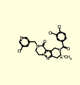 C[C@@H]1Cc2nn3c(c2CN1C(=O)c1ccc(Cl)c(Cl)c1)C(=O)N(Cc1cncc(Cl)c1)CC3